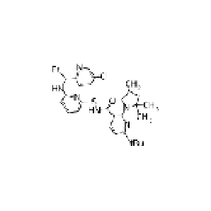 CCC(Nc1cccc(SNC(=O)c2ccc(C(C)(C)C)nc2N2CC(C)CC2(C)C)n1)c1ccc(Cl)cn1